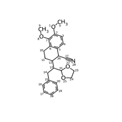 COc1ccc2c(c1OC)CCC(C(Cc1ccccc1)C1OCCO1)C2C#N